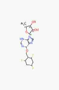 C[C@H]1O[C@@H](n2cnc3c2NC=NC3OCC2C(F)CC(F)CC2F)[C@H](O)[C@@H]1O